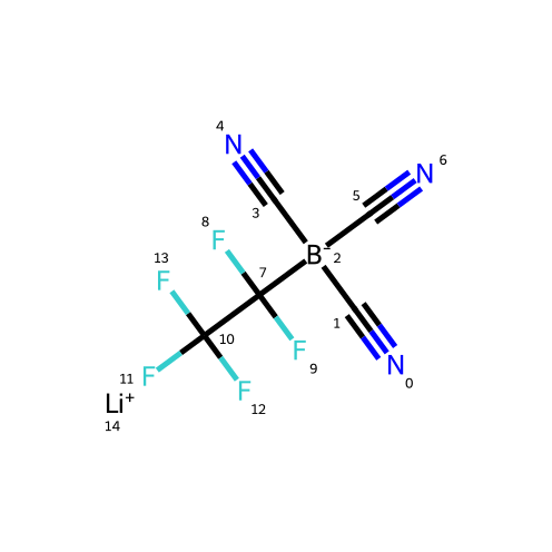 N#C[B-](C#N)(C#N)C(F)(F)C(F)(F)F.[Li+]